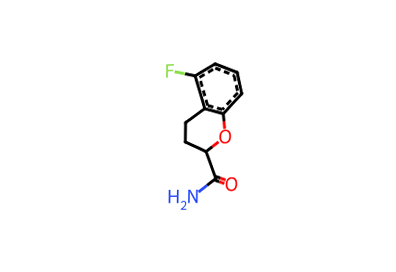 NC(=O)C1CCc2c(F)cccc2O1